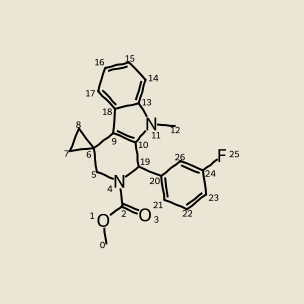 COC(=O)N1CC2(CC2)c2c(n(C)c3ccccc23)C1c1cccc(F)c1